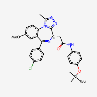 COc1ccc2c(c1)C(c1ccc(Cl)cc1)=N[C@@H](CC(=O)Nc1ccc(O[Si](C)(C)C(C)(C)C)cc1)c1nnc(C)n1-2